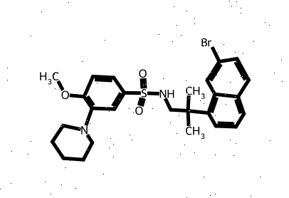 COc1ccc(S(=O)(=O)NCC(C)(C)c2cccc3ccc(Br)cc23)cc1N1CCCCC1